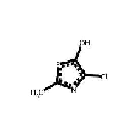 Cc1nc(Cl)c(O)s1